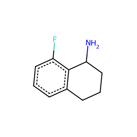 NC1CCCc2cccc(F)c21